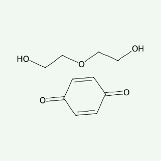 O=C1C=CC(=O)C=C1.OCCOCCO